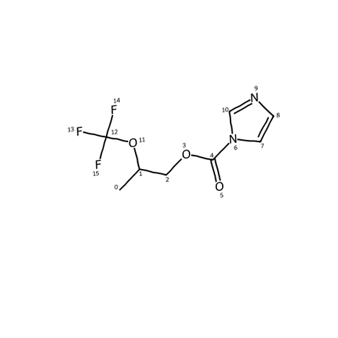 CC(COC(=O)n1ccnc1)OC(F)(F)F